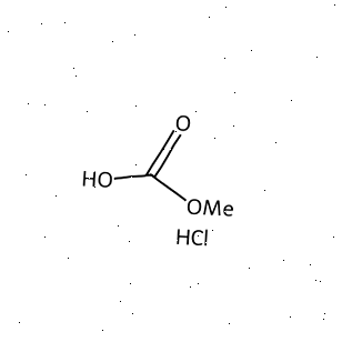 COC(=O)O.Cl